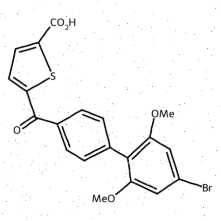 COc1cc(Br)cc(OC)c1-c1ccc(C(=O)c2ccc(C(=O)O)s2)cc1